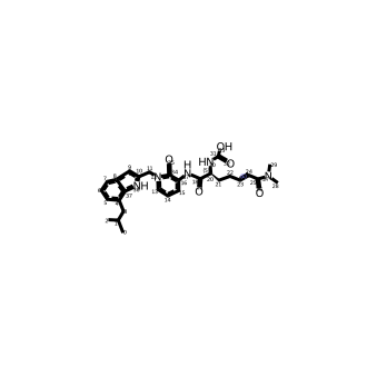 CC(C)Cc1cccc2cc(Cn3cccc(NC(=O)[C@H](CC/C=C/C(=O)N(C)C)NC(=O)O)c3=O)[nH]c12